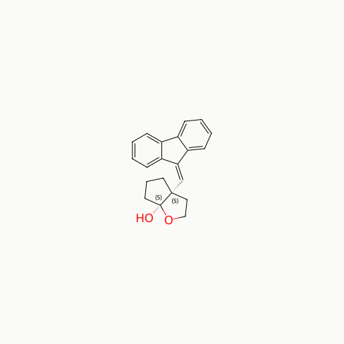 O[C@]12CCC[C@@]1(C=C1c3ccccc3-c3ccccc31)CCO2